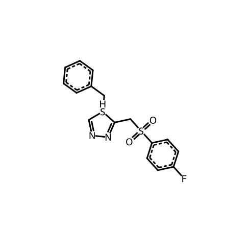 O=S(=O)(CC1=NN=C[SH]1Cc1ccccc1)c1ccc(F)cc1